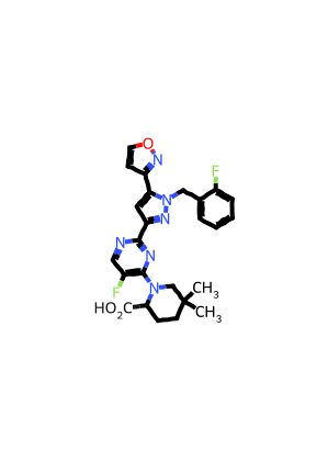 CC1(C)CCC(C(=O)O)N(c2nc(-c3cc(-c4ccon4)n(Cc4ccccc4F)n3)ncc2F)C1